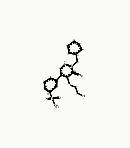 CCCOc1c(-c2cccc(S(C)(=O)=O)c2)cnn(Cc2ccccc2)c1=O